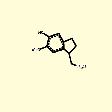 CCOC(=O)CC1CCc2cc(S)c(OC)cc21